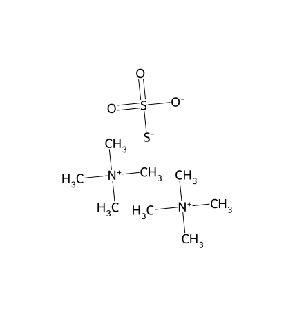 C[N+](C)(C)C.C[N+](C)(C)C.O=S(=O)([O-])[S-]